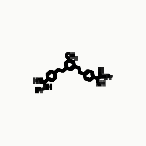 Cc1cc(CCc2ccc(C(=N)NC(C)C)cc2)cc(CCc2ccc(C(=N)NC(C)C)cc2)c1